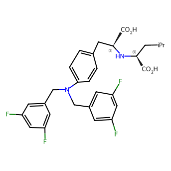 CC(C)C[C@H](N[C@@H](Cc1ccc(N(Cc2cc(F)cc(F)c2)Cc2cc(F)cc(F)c2)cc1)C(=O)O)C(=O)O